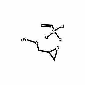 C=C[Si](Cl)(Cl)Cl.[CH2]CCOCC1CO1